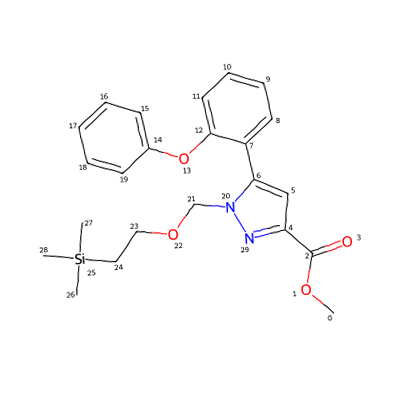 COC(=O)c1cc(-c2ccccc2Oc2ccccc2)n(COCC[Si](C)(C)C)n1